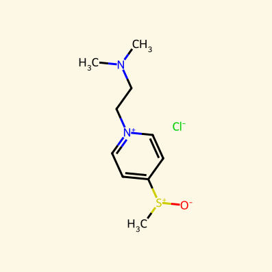 CN(C)CC[n+]1ccc([S+](C)[O-])cc1.[Cl-]